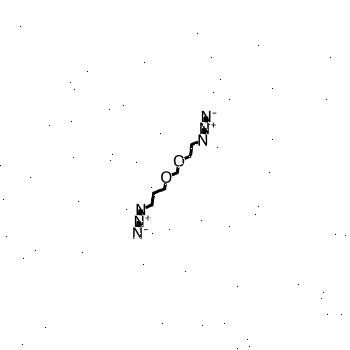 [N-]=[N+]=NCCCOCOCCN=[N+]=[N-]